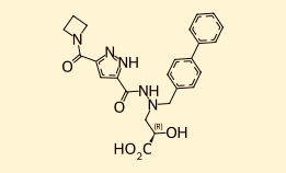 O=C(NN(Cc1ccc(-c2ccccc2)cc1)C[C@@H](O)C(=O)O)c1cc(C(=O)N2CCC2)n[nH]1